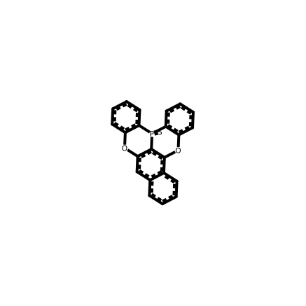 S=P12c3ccccc3Oc3cc4ccccc4c(c31)Oc1ccccc12